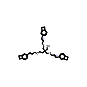 OCC(CCOC/C=C/c1ccc2c(c1)CC2)(COC/C=C/c1ccc2c(c1)CC2)COC/C=C/c1ccc2c(c1)CC2